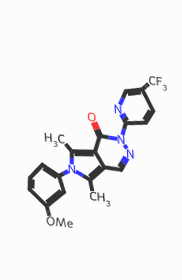 COc1cccc(-n2c(C)c3cnn(-c4ccc(C(F)(F)F)cn4)c(=O)c3c2C)c1